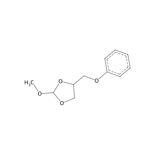 COC1OCC(COc2ccccc2)O1